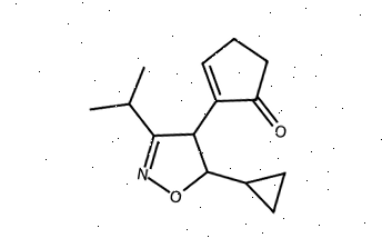 CC(C)C1=NOC(C2CC2)C1C1=CCCC1=O